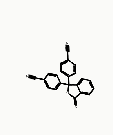 N#Cc1ccc(C2(c3ccc(C#N)cc3)OC(=O)c3ccccc32)cc1